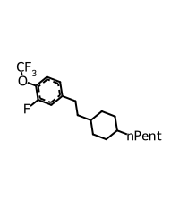 CCCCCC1CCC(CCc2ccc(OC(F)(F)F)c(F)c2)CC1